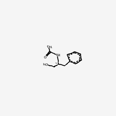 O=C(O)N[C@H](CO)Cc1ccccc1